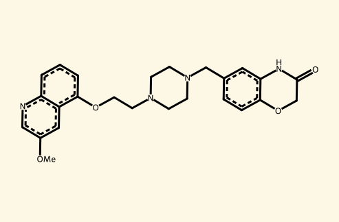 COc1cnc2cccc(OCCN3CCN(Cc4ccc5c(c4)NC(=O)CO5)CC3)c2c1